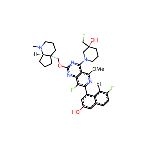 CCc1c(F)ccc2cc(O)cc(-c3nc(OC)c4c(N5CCC[C@](O)(CF)C5)nc(OC[C@]56CCC[C@H]5N(C)CCC6)nc4c3F)c12